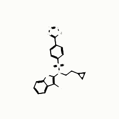 O=S(=O)(c1ccc(-c2nnn[nH]2)cc1)N(CCC1CC1)c1sc2ccccc2c1Br